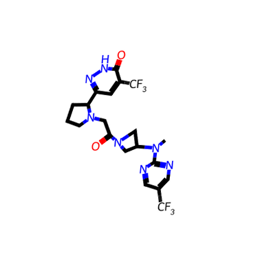 CN(c1ncc(C(F)(F)F)cn1)C1CN(C(=O)CN2CCCC2c2cc(C(F)(F)F)c(=O)[nH]n2)C1